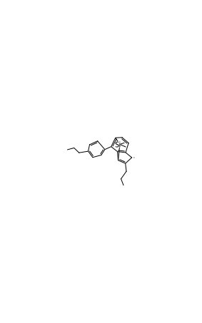 CCCC1=C2c3c(ccc(c3-c3ccc(CCC)cc3)[Si]2(C)C)[CH]1